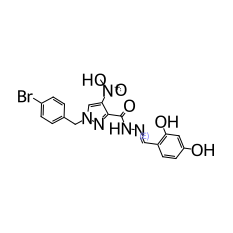 O=C(N/N=C/c1ccc(O)cc1O)c1nn(Cc2ccc(Br)cc2)cc1[N+](=O)O